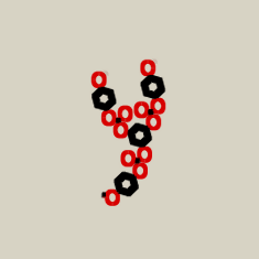 COc1ccc(OC(=O)Oc2cc(OC(=O)Oc3ccc(OC)cc3)cc(OC(=O)Oc3ccc(OC)cc3)c2)cc1